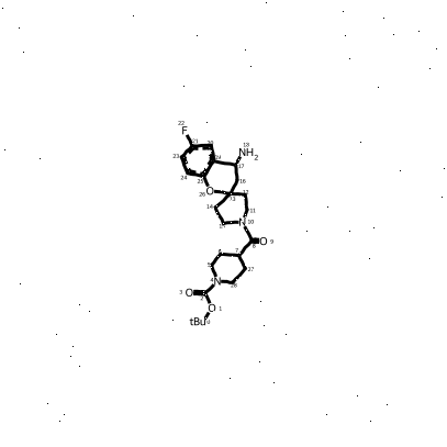 CC(C)(C)OC(=O)N1CCC(C(=O)N2CCC3(CC2)CC(N)c2cc(F)ccc2O3)CC1